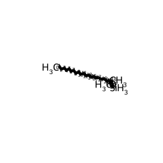 CCCCCCCCCCCCCCCCCCCCCCC(C)(C)O[SiH3]